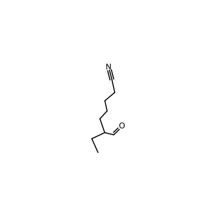 CCC(C=O)CCCCC#N